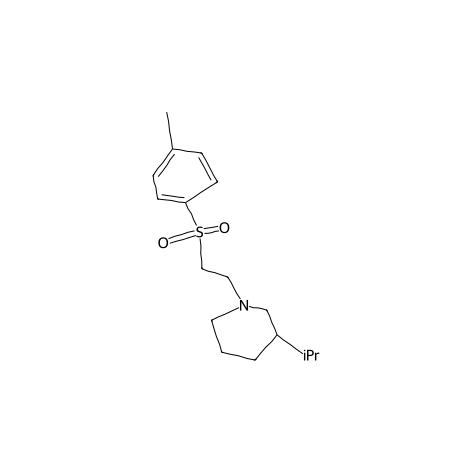 Cc1ccc(S(=O)(=O)CCN2CCCC(C(C)C)C2)cc1